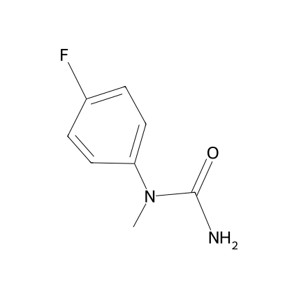 CN(C(N)=O)c1ccc(F)cc1